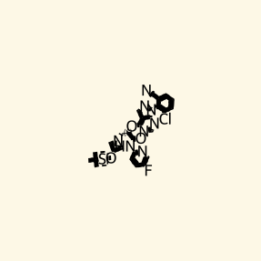 CC(C)(C)[Si](C)(C)OC1CN(C[C@H](Oc2ncnc3c2cnn3-c2c(Cl)cccc2C#N)C(=O)Nc2ccc(F)cn2)C1